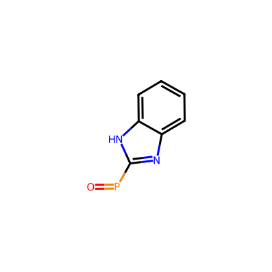 O=Pc1nc2ccccc2[nH]1